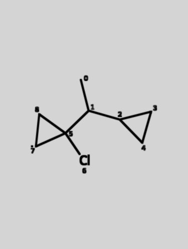 CC(C1CC1)C1(Cl)[CH]C1